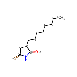 CCCCCCCCC1CC(=S)NC1=O